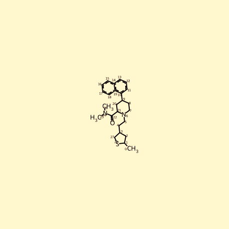 CC1CC(CCN2CCC(c3cccc4ccccc34)CC2C(=O)N(C)C)CS1